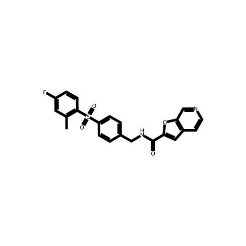 Cc1cc(F)ccc1S(=O)(=O)c1ccc(CNC(=O)c2cc3ccncc3o2)cc1